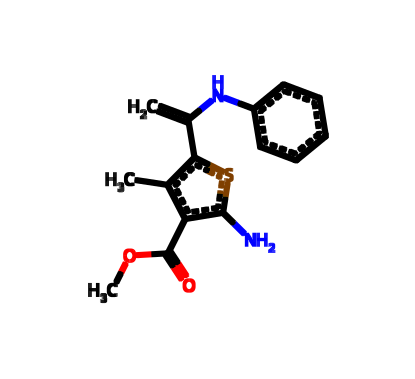 C=C(Nc1ccccc1)c1sc(N)c(C(=O)OC)c1C